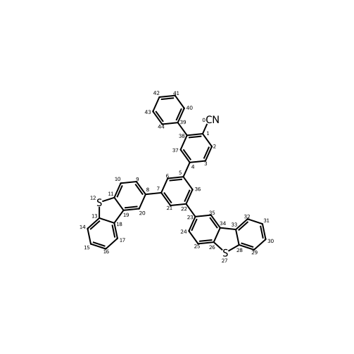 N#Cc1ccc(-c2cc(-c3ccc4sc5ccccc5c4c3)cc(-c3ccc4sc5ccccc5c4c3)c2)cc1-c1ccccc1